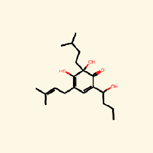 CCCC(O)C1=CC(CC=C(C)C)=C(O)C(O)(CCC(C)C)C1=O